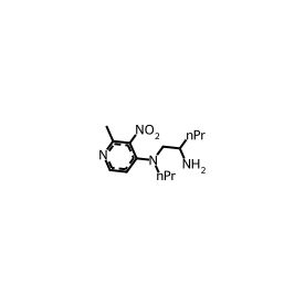 CCCC(N)CN(CCC)c1ccnc(C)c1[N+](=O)[O-]